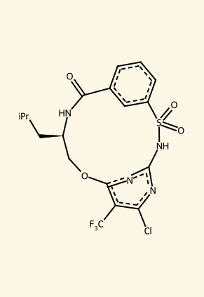 CC(C)C[C@@H]1COc2nc(nc(Cl)c2C(F)(F)F)NS(=O)(=O)c2cccc(c2)C(=O)N1